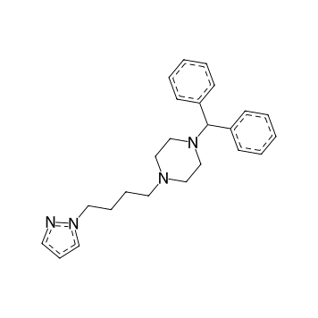 c1ccc(C(c2ccccc2)N2CCN(CCCCn3cccn3)CC2)cc1